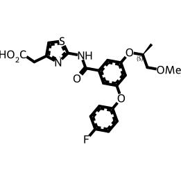 COC[C@H](C)Oc1cc(Oc2ccc(F)cc2)cc(C(=O)Nc2nc(CC(=O)O)cs2)c1